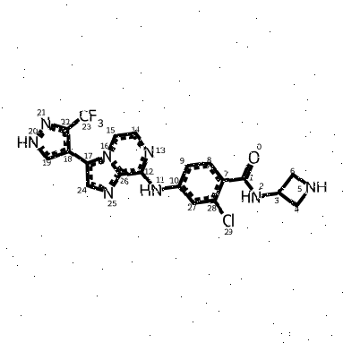 O=C(NC1CNC1)c1ccc(Nc2nccn3c(-c4c[nH]nc4C(F)(F)F)cnc23)cc1Cl